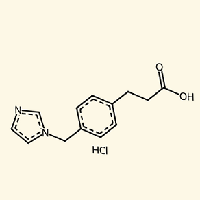 Cl.O=C(O)CCc1ccc(Cn2ccnc2)cc1